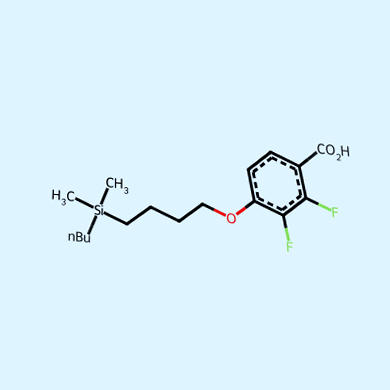 CCCC[Si](C)(C)CCCCOc1ccc(C(=O)O)c(F)c1F